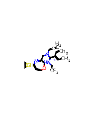 C=C=CN(CC1=NC([SH]2CC2)=C=COC1)C(NCC(F)(F)F)/C(C=C)=C/C